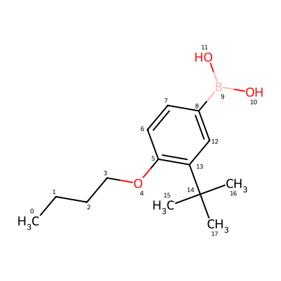 CCCCOc1ccc(B(O)O)cc1C(C)(C)C